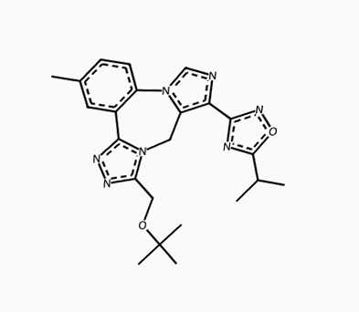 Cc1ccc2c(c1)-c1nnc(COC(C)(C)C)n1Cc1c(-c3noc(C(C)C)n3)ncn1-2